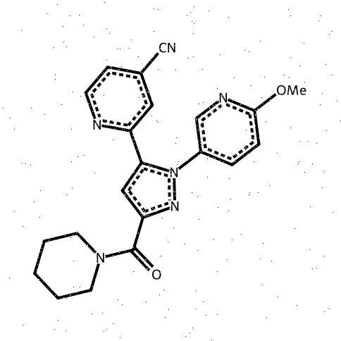 COc1ccc(-n2nc(C(=O)N3CCCCC3)cc2-c2cc(C#N)ccn2)cn1